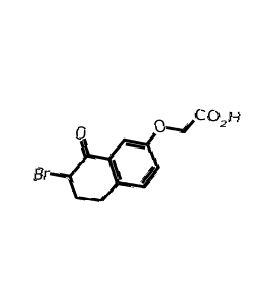 O=C(O)COc1ccc2c(c1)C(=O)C(Br)CC2